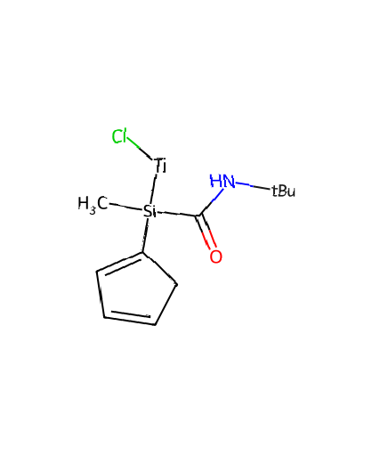 CC(C)(C)NC(=O)[Si](C)([Ti][Cl])C1=CC=CC1